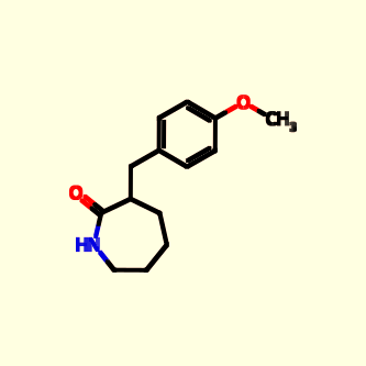 COc1ccc(CC2CCCCNC2=O)cc1